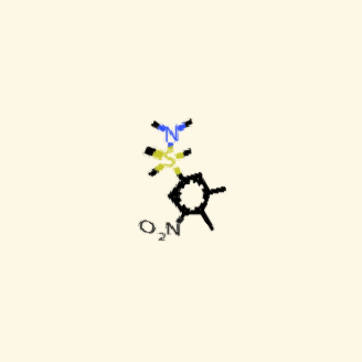 C=S(C)(C)(c1cc(C)c(C)c([N+](=O)[O-])c1)N(C)C